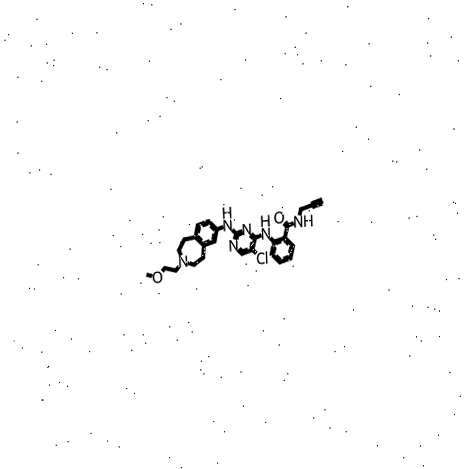 C#CCNC(=O)c1ccccc1Nc1nc(Nc2ccc3c(c2)CCN(CCOC)CC3)ncc1Cl